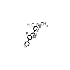 Cc1cn2nc(-c3cc4c(F)cc(C5C=CNCC5)cc4nn3)cc(C)c2n1